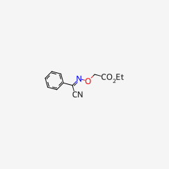 CCOC(=O)CON=C(C#N)c1ccccc1